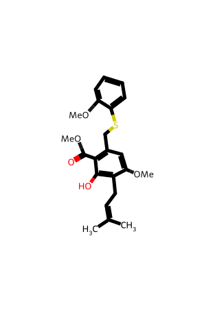 COC(=O)c1c(CSc2ccccc2OC)cc(OC)c(CC=C(C)C)c1O